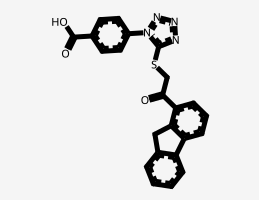 O=C(O)c1ccc(-n2nnnc2SCC(=O)c2cccc3c2Cc2ccccc2-3)cc1